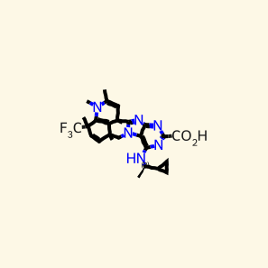 CC1=CC2(C)C3=C(N1C)C(C)(C(F)(F)F)C=CC3(C)Cn1c2nc2nc(C(=O)O)nc(N[C@H](C)C3CC3)c21